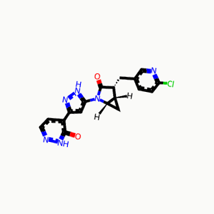 O=C1[C@H](Cc2ccc(Cl)nc2)[C@@H]2C[C@@H]2N1c1cc(-c2ccn[nH]c2=O)n[nH]1